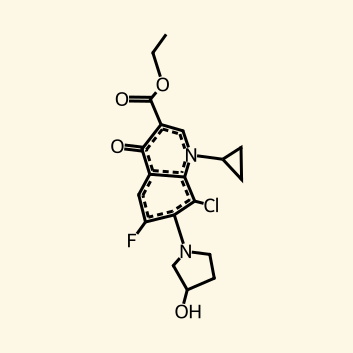 CCOC(=O)c1cn(C2CC2)c2c(Cl)c(N3CCC(O)C3)c(F)cc2c1=O